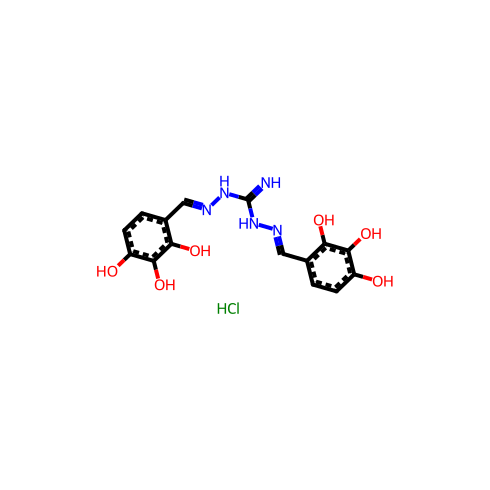 Cl.N=C(NN=Cc1ccc(O)c(O)c1O)NN=Cc1ccc(O)c(O)c1O